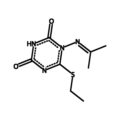 CCSc1nc(=O)[nH]c(=O)n1N=C(C)C